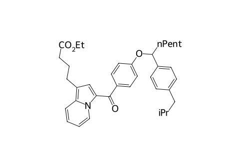 CCCCCC(Oc1ccc(C(=O)c2cc(CCCC(=O)OCC)c3ccccn23)cc1)c1ccc(CC(C)C)cc1